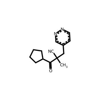 CC(C#N)(Cc1ccnnc1)C(=O)C1CCCC1